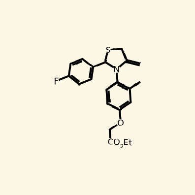 C=C1CSC(c2ccc(F)cc2)N1c1ccc(OCC(=O)OCC)cc1C